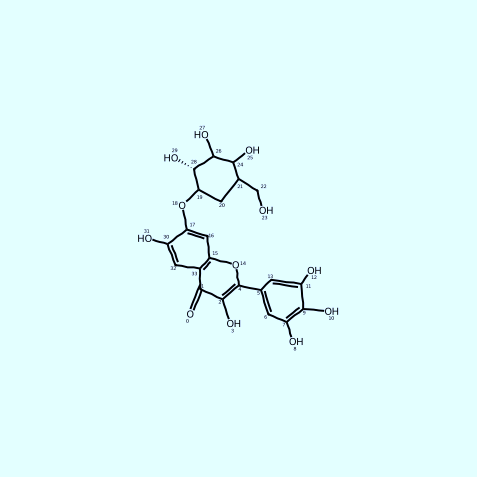 O=c1c(O)c(-c2cc(O)c(O)c(O)c2)oc2cc(OC3CC(CO)C(O)C(O)[C@H]3O)c(O)cc12